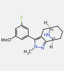 COc1cc(F)cc(-c2c3c(nn2C)[C@@H]2CCC[C@H](C3)N2)c1